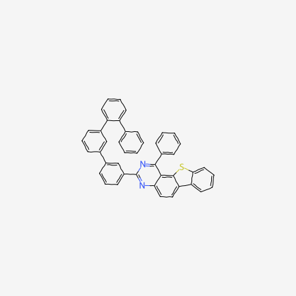 c1ccc(-c2ccccc2-c2cccc(-c3cccc(-c4nc(-c5ccccc5)c5c(ccc6c7ccccc7sc65)n4)c3)c2)cc1